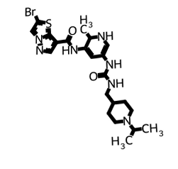 CC1NC=C(NC(=O)NCC2CCN(C(C)C)CC2)C=C1NC(=O)c1cnn2cc(Br)sc12